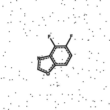 Fc1ccc2ocnc2c1F